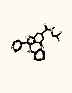 CN(CC(F)F)C(=O)C1CC(=O)c2c([nH]c(-c3ccncc3)c2Nc2ccccc2)C1